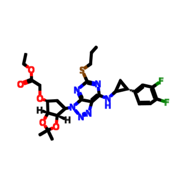 CCCSc1nc(NC2C[C@@H]2c2ccc(F)c(F)c2)c2nnn(C3C[C@H](OCC(=O)OCC)[C@H]4OC(C)(C)O[C@@H]34)c2n1